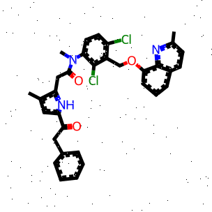 Cc1ccc2cccc(OCc3c(Cl)ccc(N(C)C(=O)Cc4[nH]c(C(=O)Cc5ccccc5)cc4C)c3Cl)c2n1